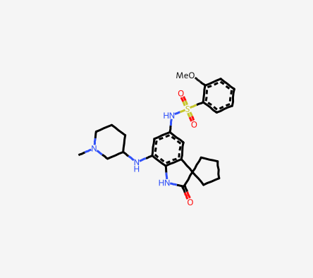 COc1ccccc1S(=O)(=O)Nc1cc(NC2CCCN(C)C2)c2c(c1)C1(CCCC1)C(=O)N2